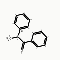 CN(C(=O)c1cc[c]cc1)c1ccccc1